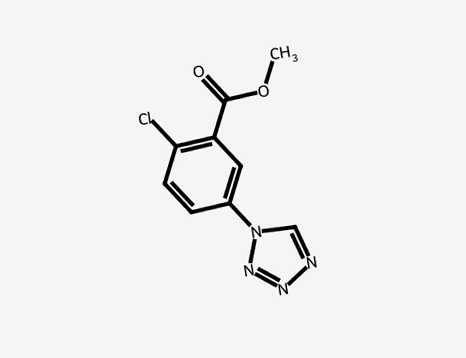 COC(=O)c1cc(-n2cnnn2)ccc1Cl